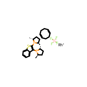 C1=C\CC/C=C\CC/1.C[C@@H]1CC[C@@H](C)P1c1sc2ccccc2c1P1[C@H](C)CC[C@H]1C.F[B-](F)(F)F.[Rh+]